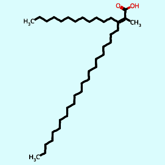 CCCCCCCCCCCCCCCCCCCCCC/C(CCCCCCCCCCCC)=C(\C)C(=O)O